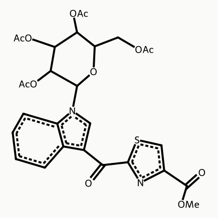 COC(=O)c1csc(C(=O)c2cn(C3OC(COC(C)=O)C(OC(C)=O)C(OC(C)=O)C3OC(C)=O)c3ccccc23)n1